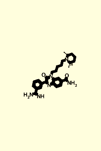 C[C@@H]1CCC[C@H](C)N1CCCCCn1c(=O)c(-c2cccc(C(=N)N)c2)nc2ccc(C(N)=O)cc21